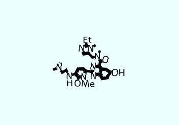 CCc1ncc(CN(C)C(=O)c2nc(-c3ccc(NCCN(C)C)c(OC)n3)nc3ccc(O)cc23)n1C